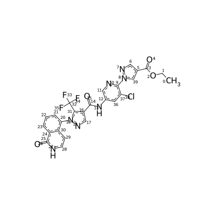 CCOC(=O)c1cnn(-c2ncc(NC(=O)c3cnn(-c4cccc5c(=O)[nH]ccc45)c3C(F)(F)F)cc2Cl)c1